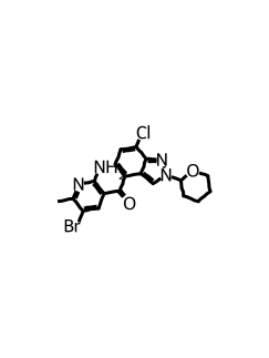 Cc1nc(N)c(C(=O)c2ccc(Cl)c3nn(C4CCCCO4)cc23)cc1Br